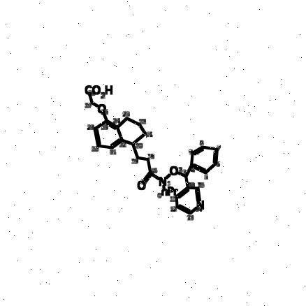 CCCN(OC(c1ccccc1)c1cccnc1)C(=O)CCC1CCCc2c(OCC(=O)O)cccc21